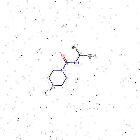 CC(C)[C@H](NC(=O)N1CCN(C)CC1)C(=O)O.[Li]